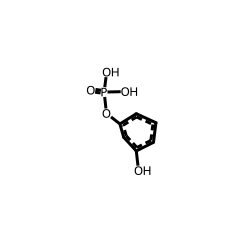 O=P(O)(O)Oc1cccc(O)c1